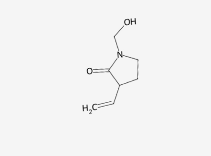 C=CC1CCN(CO)C1=O